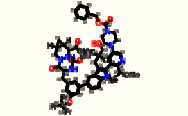 CCn1c(-c2cc(N3CCN(C(=O)OCc4ccccc4)CC3)cnc2[C@H](C)OC)c(CC(C)(C)CO)c2cc(-c3cc(C[C@H](NC(=O)OC(C)(C)C)C(=O)N4C[C@@H]5C[C@@H]5[C@@H](C(=O)OC)N4)cc(O[Si](C(C)C)(C(C)C)C(C)C)c3)ccc21